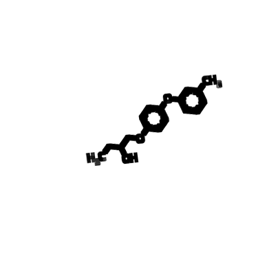 CCC(O)COc1ccc(Oc2cccc(C)c2)cc1